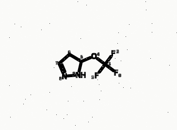 FC(F)(F)OC1[CH]C=NN1